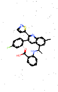 Cc1cc(C(C)Nc2ccccc2C(=O)O)c2cc(-c3ccc(F)cc3)c(-c3ccns3)nc2c1